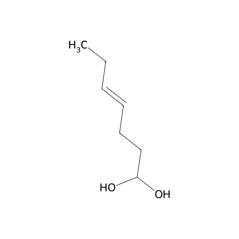 CCC=CCCC(O)O